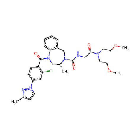 COCCN(CCOC)C(=O)CNC(=O)N1Cc2ccccc2N(C(=O)c2ccc(-n3ccc(C)n3)cc2Cl)C[C@H]1C